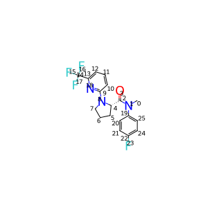 CN(C(=O)[C@@H]1CCCN1c1cccc(C(F)(F)F)n1)c1ccc(F)cc1